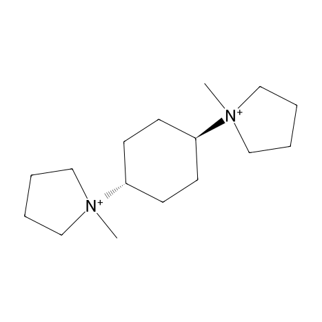 C[N+]1([C@H]2CC[C@H]([N+]3(C)CCCC3)CC2)CCCC1